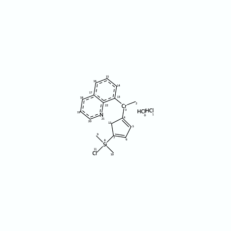 Cl.Cl.[CH3][Cr]([C]1=CC=C([Si](C)(C)Cl)C1)[c]1cccc2cccnc12